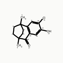 CC12CCC(C)(CC1)c1cc(Cl)c(O)cc1C2=O